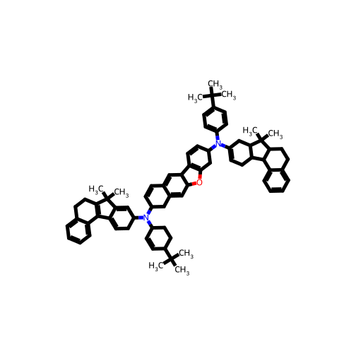 CC1(C)C2=CC(N(C3C=CC(C(C)(C)C)CC3)C3C=CC4=CC5C6=C(CC(N(C7=CCC8C9c%10ccccc%10CCC9C(C)(C)C8C7)c7ccc(C(C)(C)C)cc7)C=C6)OC5C=C4C3)CC=C2C2=C1CCc1ccccc12